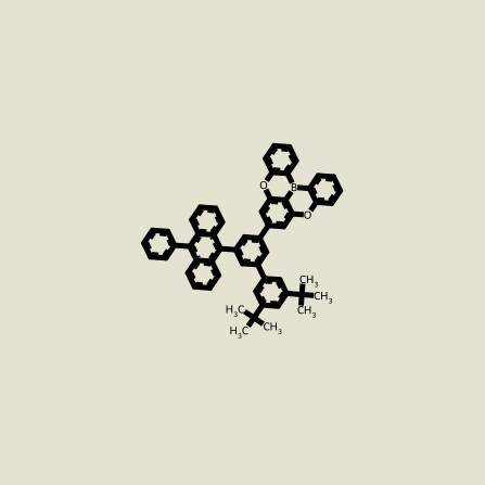 CC(C)(C)c1cc(-c2cc(-c3cc4c5c(c3)Oc3ccccc3B5c3ccccc3O4)cc(-c3c4ccccc4c(-c4ccccc4)c4ccccc34)c2)cc(C(C)(C)C)c1